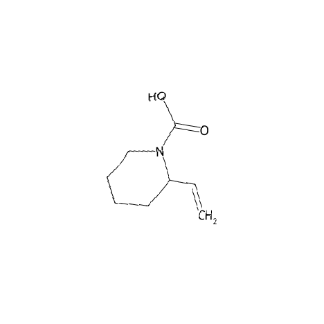 C=CC1CCCCN1C(=O)O